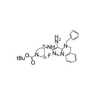 CC(C)(C)OC(=O)N1CC[C@@H](Nc2ncnc(N(Cc3ccccc3)Cc3ccccc3)c2N)[C@H](F)C1